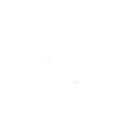 NC(=O)Cc1cc(OC(F)(F)F)ccc1-c1ccccc1